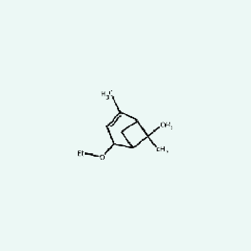 CCOC1C=C(C)C2CC1C2(C)C